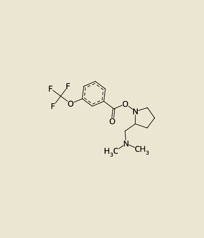 CN(C)CC1CCCN1OC(=O)c1cccc(OC(F)(F)F)c1